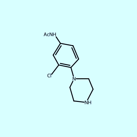 CC(=O)Nc1ccc(N2CCNCC2)c(Cl)c1